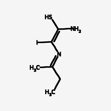 CC/C(C)=N/C(I)=C(\N)S